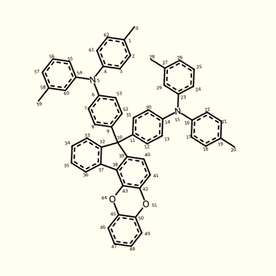 Cc1ccc(N(c2ccc(C3(c4ccc(N(c5ccc(C)cc5)c5cccc(C)c5)cc4)c4ccccc4-c4c3ccc3c4Oc4ccccc4O3)cc2)c2cccc(C)c2)cc1